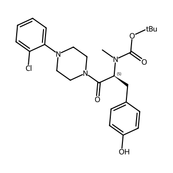 CN(C(=O)OC(C)(C)C)[C@@H](Cc1ccc(O)cc1)C(=O)N1CCN(c2ccccc2Cl)CC1